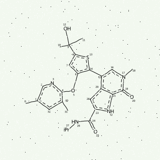 Cc1cnc(Oc2cc(C(C)(C)O)sc2-c2cn(C)c(=O)c3[nH]c(C(=O)NC(C)C)cc23)c(C)c1